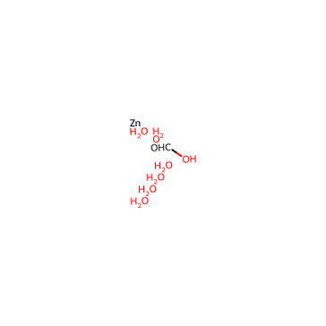 O.O.O.O.O.O.O=CO.[Zn]